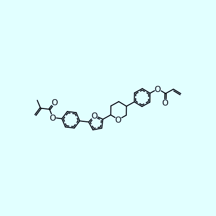 C=CC(=O)Oc1ccc(C2CCC(c3ccc(-c4ccc(OC(=O)C(=C)C)cc4)o3)OC2)cc1